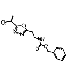 CC(Cl)c1nnc(CCNC(=O)OCc2ccccc2)o1